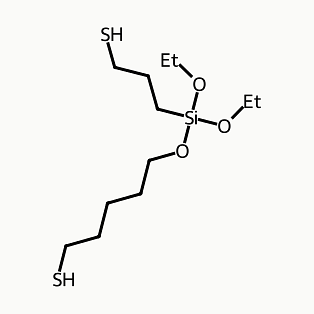 CCO[Si](CCCS)(OCC)OCCCCCS